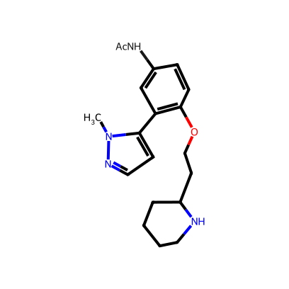 CC(=O)Nc1ccc(OCCC2CCCCN2)c(-c2ccnn2C)c1